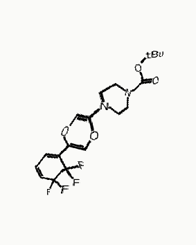 CC(C)(C)OC(=O)N1CCN(C2=COC(C3=CC=CC(F)(F)C3(F)F)=CO2)CC1